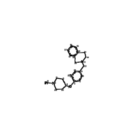 CC(C)N1CCC(Oc2ccc(CN3CCc4ccccc4C3)cn2)CC1